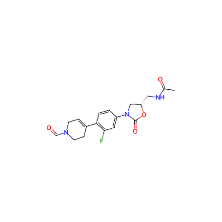 CC(=O)NC[C@H]1CN(c2ccc(C3=CCN(C=O)CC3)c(F)c2)C(=O)O1